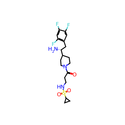 N[C@H](Cc1cc(F)c(F)cc1F)C1CCN(C(=O)CCNS(=O)(=O)C2CC2)CC1